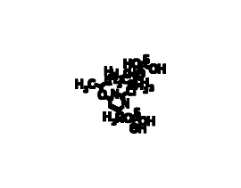 CC.CCC.Cc1cc(OC(C)C)nc(Cl)n1.OP(O)(O)=S.OP(O)(O)=S